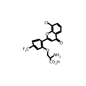 NC(COc1cc(C(F)(F)F)ccc1-c1cc(=O)c2cccc(Cl)c2o1)C(=O)O